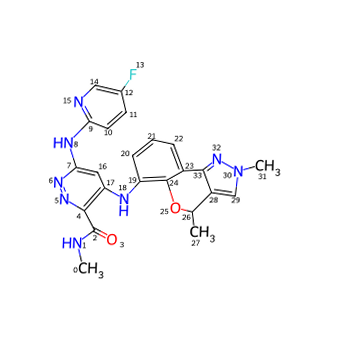 CNC(=O)c1nnc(Nc2ccc(F)cn2)cc1Nc1cccc2c1OC(C)c1cn(C)nc1-2